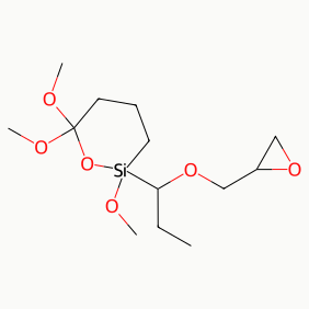 CCC(OCC1CO1)[Si]1(OC)CCCC(OC)(OC)O1